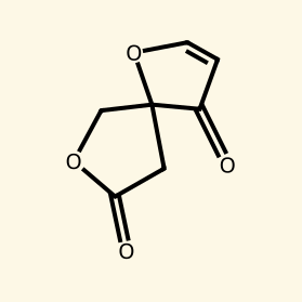 O=C1CC2(CO1)OC=CC2=O